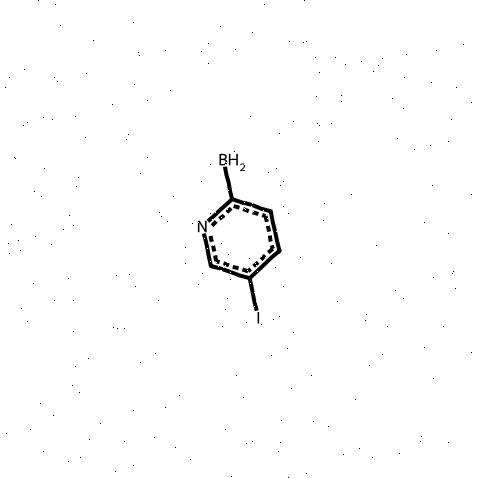 Bc1ccc(I)cn1